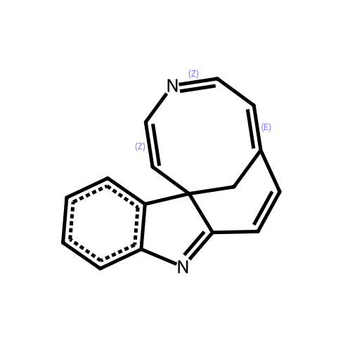 C1=C/C2=C/C=N\C=C/C3(C2)C1=Nc1ccccc13